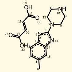 Cc1ccc2sc(N3CCNCC3)nc2c1.O=C(O)C=CC(=O)O